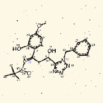 COc1ccc(/C(C[C@H](O)c2nnnn2Cc2ccccc2)=N/[S@@+]([O-])C(C)(C)C)c(O)c1